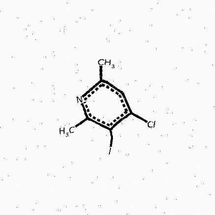 Cc1cc(Cl)c(I)c(C)n1